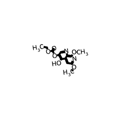 CCOC(=O)Oc1cnc2c(OC)nc(OC)cc2c1O